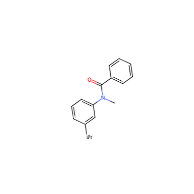 CC(C)c1cccc(N(C)C(=O)c2ccccc2)c1